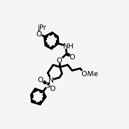 COCCCC1(OC(=O)Nc2ccc(OC(C)C)cc2)CCN(S(=O)(=O)c2ccccc2)CC1